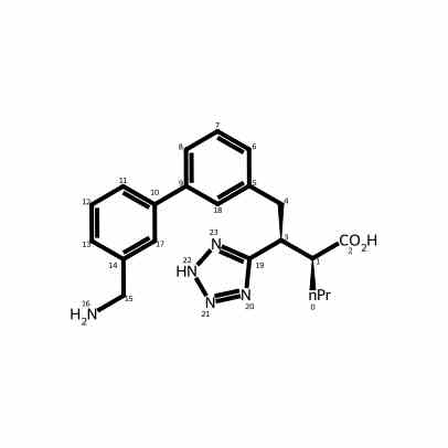 CCC[C@H](C(=O)O)[C@H](Cc1cccc(-c2cccc(CN)c2)c1)c1nn[nH]n1